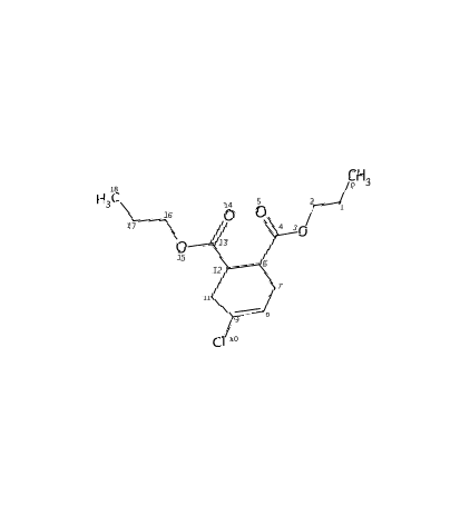 CCCOC(=O)C1CC=C(Cl)CC1C(=O)OCCC